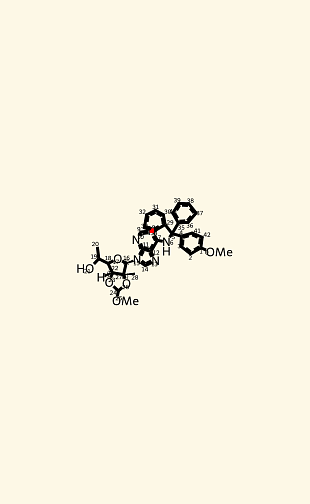 COc1ccc(C(Nc2ncnc3c2ncn3[C@@H]2OC(C(C)O)[C@H]3OC(OC)O[C@]32C)(c2ccccc2)c2ccccc2)cc1